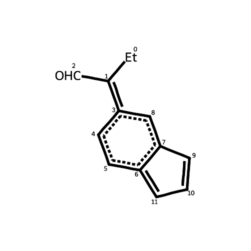 CCC(C=O)=c1ccc2c(c1)C=CC=2